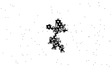 CN(C(=O)OC(C)(C)C)c1cc2ccccc2cc1C[C@@H](NC(=O)OCc1ccccc1)C(=O)NCCCC[C@H](NC(=O)N[C@@H](CCC(=O)OC(C)(C)C)C(=O)OC(C)(C)C)C(=O)OC(C)(C)C